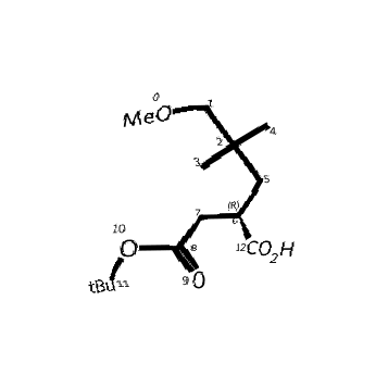 COCC(C)(C)C[C@H](CC(=O)OC(C)(C)C)C(=O)O